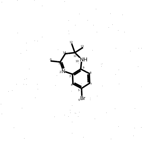 CC1=Nc2cc(Br)ccc2NC(C)(C)C1